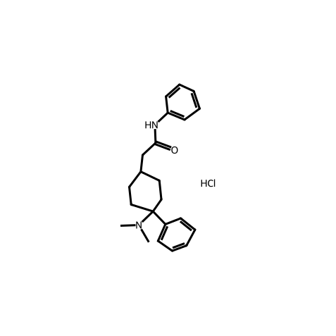 CN(C)C1(c2ccccc2)CCC(CC(=O)Nc2ccccc2)CC1.Cl